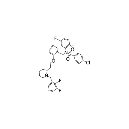 O=S(=O)(c1ccc(Cl)cc1)N(Cc1ccccc1OCCC1CCCCN1Cc1cccc(F)c1F)c1cc(F)ccc1F